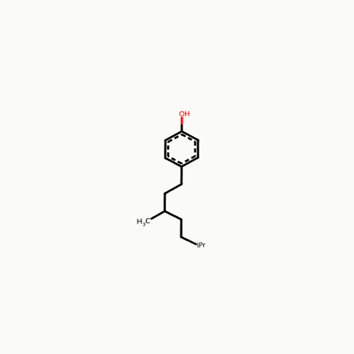 CC(C)CCC(C)CCc1ccc(O)cc1